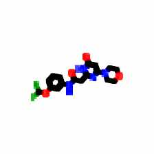 O=C(Cc1nc(N2CCOCC2)cc(=O)[nH]1)Nc1cccc(OC(F)F)c1